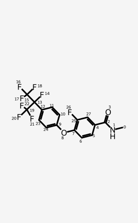 CNC(=O)c1ccc(Oc2ccc(C(F)(C(F)(F)F)C(F)(F)F)cc2)c(F)c1